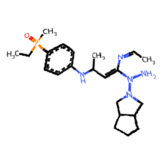 C/C=N\C(=C/C(C)Nc1ccc(P(C)(=O)CC)cc1)N(N)N1CC2CCCC2C1